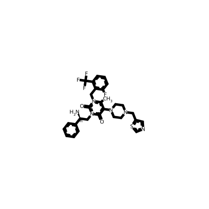 Cc1c(N2CCN(Cc3cncs3)CC2)c(=O)n(C[C@H](N)c2ccccc2)c(=O)n1Cc1c(F)cccc1C(F)(F)F